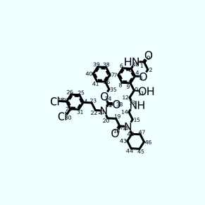 O=C1COc2c(cccc2[C@@H](O)CNCCN(C(=O)CCN(CCc2ccc(Cl)c(Cl)c2)C(=O)OCc2ccccc2)C2CCCCC2)N1